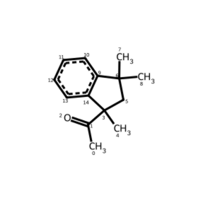 CC(=O)C1(C)CC(C)(C)c2ccccc21